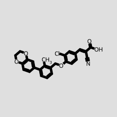 Cc1c(COc2ccc(/C=C(\C#N)C(=O)O)cc2Cl)cccc1-c1ccc2c(c1)OCCO2